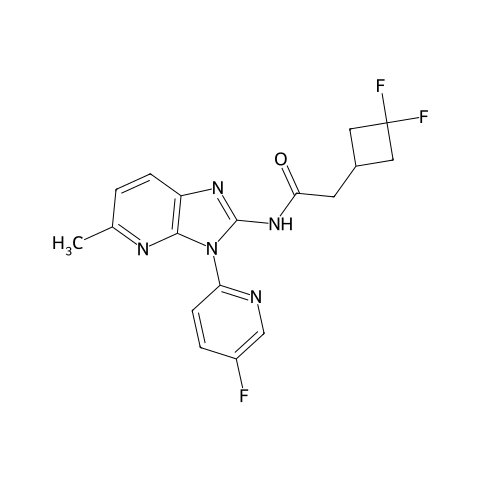 Cc1ccc2nc(NC(=O)CC3CC(F)(F)C3)n(-c3ccc(F)cn3)c2n1